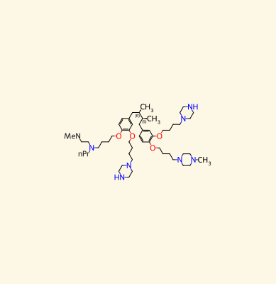 CCCN(CCCCOc1ccc(C[C@@H](C)[C@@H](C)Cc2ccc(OCCCCN3CCN(C)CC3)c(OCCCCN3CCNCC3)c2)cc1OCCCCN1CCNCC1)CCNC